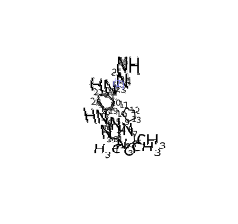 CN1C(=O)C(C)(C)CN(C2CCCC2)c2nc(Nc3ccc(N/C=N\C=N)cc3)ncc21